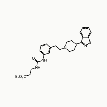 CCOC(=O)CCNC(=O)Nc1cccc(CCN2CCN(c3nsc4ccccc34)CC2)c1